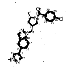 C[C@@H]1C[C@H](Cn2ncc3cc(-c4cn[nH]c4)ccc32)CN1C(=O)c1ccc(Cl)cc1